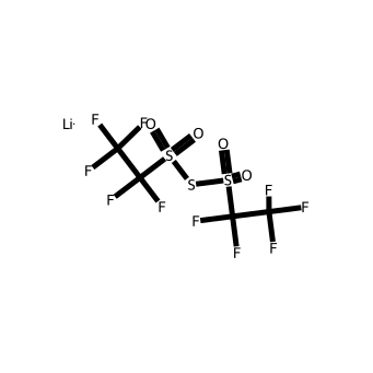 O=S(=O)(SS(=O)(=O)C(F)(F)C(F)(F)F)C(F)(F)C(F)(F)F.[Li]